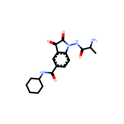 CC(N)C(=O)NN1C(=O)C(=O)c2cc(C(=O)NC3CCCCC3)ccc21